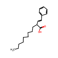 CCCCCCCCCC(C=Cc1ccccc1)C(=O)O